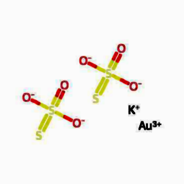 O=S([O-])([O-])=S.O=S([O-])([O-])=S.[Au+3].[K+]